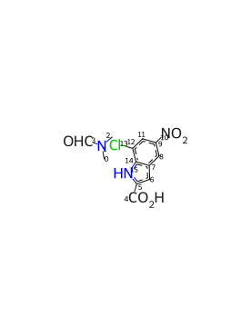 CN(C)C=O.O=C(O)c1cc2cc([N+](=O)[O-])cc(Cl)c2[nH]1